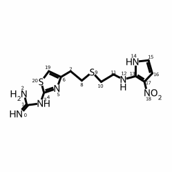 N=C(N)Nc1nc(CCSCCNc2[nH]ccc2[N+](=O)[O-])cs1